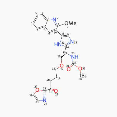 COc1nc2ccccc2cc1-c1cnc([C@H](COCCCC(=O)c2ncco2)NC(=O)OC(C)(C)C)[nH]1